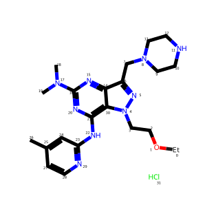 CCOCCn1nc(CN2CCNCC2)c2nc(N(C)C)nc(Nc3cc(C)ccn3)c21.Cl